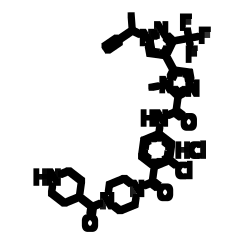 C#CC(C)n1cc(-c2cnc(C(=O)Nc3ccc(C(=O)N4CCN(C(=O)C5CCNCC5)CC4)c(Cl)c3)n2C)c(C(F)(F)F)n1.Cl